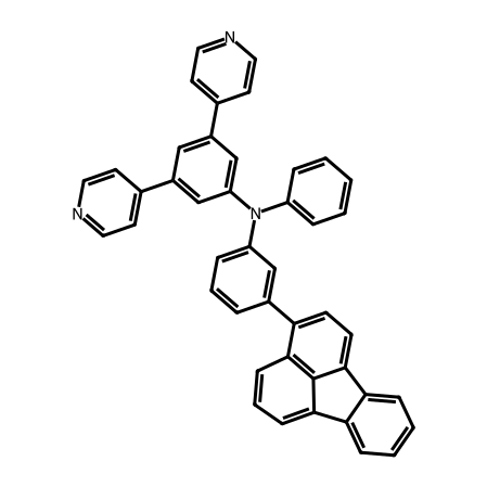 c1ccc(N(c2cc(-c3ccncc3)cc(-c3ccncc3)c2)c2cccc(-c3ccc4c5c(cccc35)-c3ccccc3-4)c2)cc1